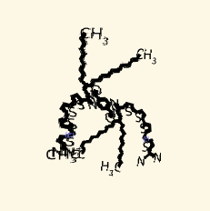 [C-]#[N+]C([N+]#[C-])=c1cc/c(=C\c2ccc(-c3ccc(-c4ccc(-c5nc6cc7c(=O)n(CC(CCCCCCCCCC)CCCCCCCCCCCC)c(-c8ccc(-c9ccc(-c%10ccc(/C=c%11\ccc(=C(C#N)C#N)s%11)s%10)s9)s8)nc7cc6c(=O)n5CC(CCCCCCCCCC)CCCCCCCCCCCC)s4)s3)s2)s1